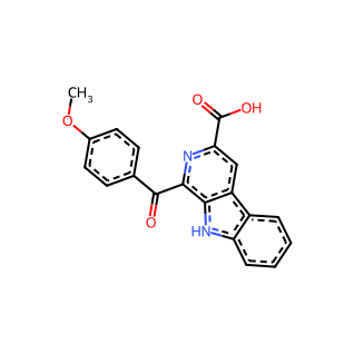 COc1ccc(C(=O)c2nc(C(=O)O)cc3c2[nH]c2ccccc23)cc1